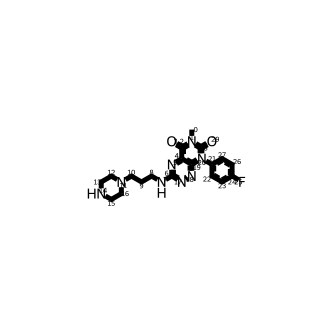 Cn1c(=O)c2nc(NCCCN3CCNCC3)nnc2n(-c2ccc(F)cc2)c1=O